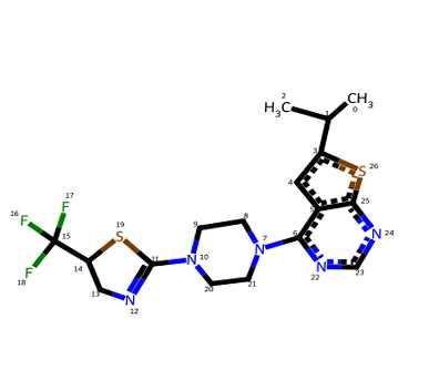 CC(C)c1cc2c(N3CCN(C4=NCC(C(F)(F)F)S4)CC3)ncnc2s1